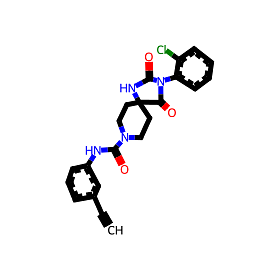 C#Cc1cccc(NC(=O)N2CCC3(CC2)NC(=O)N(c2ccccc2Cl)C3=O)c1